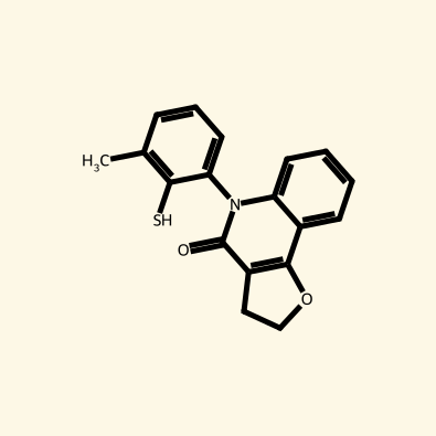 Cc1cccc(-n2c(=O)c3c(c4ccccc42)OCC3)c1S